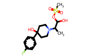 CC(C(O)OS(C)(=O)=O)N1CCC(O)(c2ccc(F)cc2)CC1